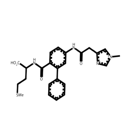 CSCCC(NC(=O)c1ccc(NC(=O)Cc2cn(C)cn2)cc1-c1ccccc1)C(=O)O